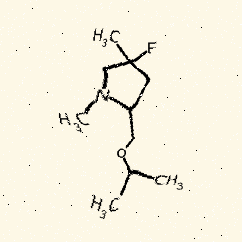 CC(C)OCC1CC(C)(F)CN1C